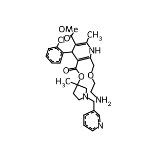 COC(=O)C1=C(C)NC(COCCN)=C(C(=O)OC2(C)CCN(Cc3cccnc3)C2)C1c1ccccc1Cl